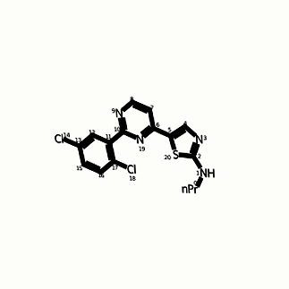 CCCNc1ncc(-c2ccnc(-c3cc(Cl)ccc3Cl)n2)s1